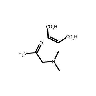 CN(C)CC(N)=O.O=C(O)/C=C\C(=O)O